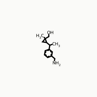 CC(c1cccc(CN)c1)C1CC1(C)CO